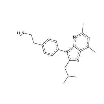 Cc1cc(C)c2nc(CC(C)C)n(-c3ccc(CCN)cc3)c2n1